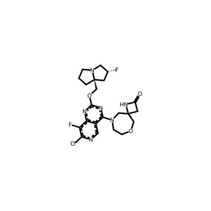 O=C1CC2(COCCN(c3nc(OC[C@@]45CCCN4C[C@H](F)C5)nc4c(F)c(Cl)ncc34)C2)N1